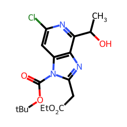 CCOC(=O)Cc1nc2c(C(C)O)nc(Cl)cc2n1C(=O)OC(C)(C)C